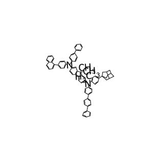 Cc1cc(C23CC4CC5CC(C2)C54C3)ccc1N(c1ccc(-c2ccc(-c3ccccc3)cc2)cc1)c1ccc2c(c1)C(C)(C)c1cc(N(c3ccc(-c4ccccc4)cc3)c3ccc(-c4cccc5ccccc45)cc3)ccc1-2